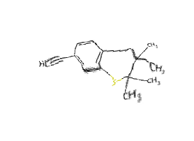 C#Cc1ccc2c(c1)SC(C)(C)C(C)(C)C2